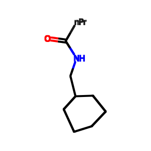 CCCC(=O)NCC1CCCCC1